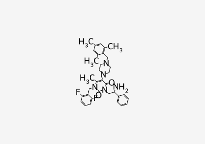 Cc1cc(C)c(CN2CCN(c3c(C)n(Cc4c(F)cccc4F)c(=O)n(C[C@@H](N)c4ccccc4)c3=O)CC2)c(C)c1